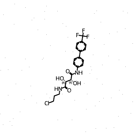 O=C(NCCCCl)[C@H](O)[C@@H](O)C(=O)Nc1ccc(-c2ccc(C(F)(F)F)cc2)cc1